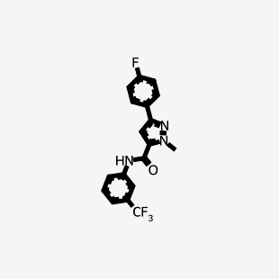 Cn1nc(-c2ccc(F)cc2)cc1C(=O)Nc1cccc(C(F)(F)F)c1